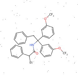 CCC(C(=O)NC(Cc1ccccc1)(c1cccc(OC(F)(F)F)c1)c1cccc(OC(F)(F)F)c1)c1ccccc1